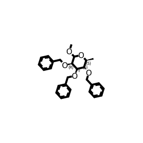 COC1O[C@@H](C)[C@H](OCc2ccccc2)[C@@H](OCc2ccccc2)[C@H]1OCc1ccccc1